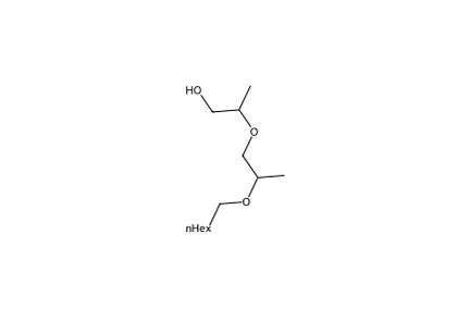 CCCCCCCOC(C)COC(C)CO